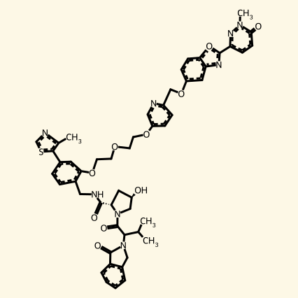 Cc1ncsc1-c1ccc(CNC(=O)[C@@H]2C[C@@H](O)CN2C(=O)C(C(C)C)N2Cc3ccccc3C2=O)c(OCCOCCOc2ccc(COc3ccc4oc(-c5ccc(=O)n(C)n5)nc4c3)nc2)c1